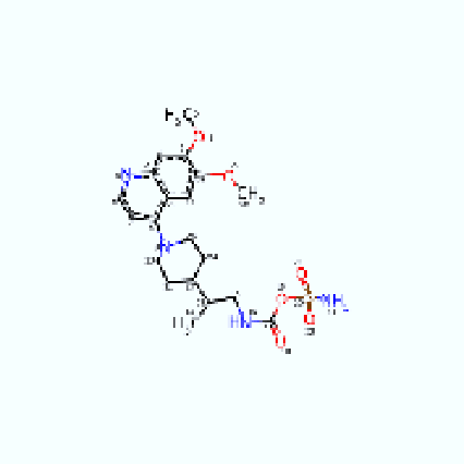 COc1cc2nccc(N3CCC(C(C)CNC(=O)OS(N)(=O)=O)CC3)c2cc1OC